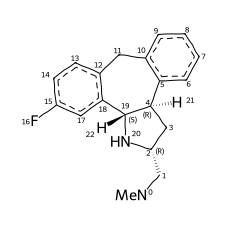 CNC[C@H]1C[C@@H]2c3ccccc3Cc3ccc(F)cc3[C@H]2N1